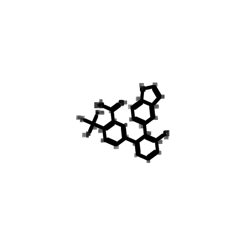 O=C(O)c1cc(-c2cccc(Cl)c2-c2ccc3occc3c2)ccc1C(F)(F)F